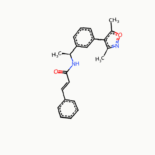 Cc1noc(C)c1-c1cccc([C@H](C)NC(=O)C=Cc2ccccc2)c1